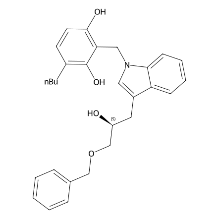 CCCCc1ccc(O)c(Cn2cc(C[C@H](O)COCc3ccccc3)c3ccccc32)c1O